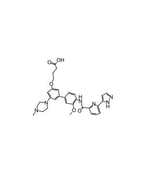 COc1cc(-c2cc(OCCCC(=O)O)cc(N3CCN(C)CC3)c2)ccc1NC(=O)c1cccc(-c2ccn[nH]2)n1